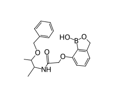 CC(NC(=O)COc1cccc2c1B(O)OC2)C(C)OCc1ccccc1